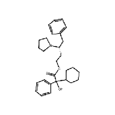 O=C(OCC[C@@H](Cc1ccccc1)N1CCCC1)C(O)(c1ccccc1)C1CCCCC1